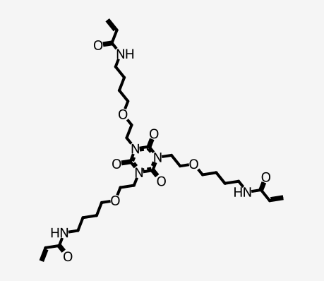 C=CC(=O)NCCCCOCCn1c(=O)n(CCOCCCCNC(=O)C=C)c(=O)n(CCOCCCCNC(=O)C=C)c1=O